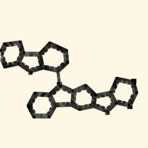 c1ccc2c(c1)sc1c(-n3c4ccccc4c4cc5sc6ncncc6c5cc43)cccc12